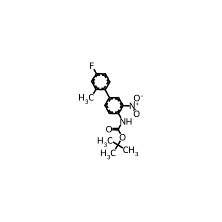 Cc1cc(F)ccc1-c1ccc(NC(=O)OC(C)(C)C)c([N+](=O)[O-])c1